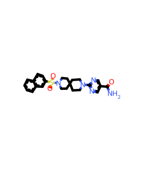 NC(=O)c1cnc(N2CCC3(CC2)CCN(S(=O)(=O)c2ccc4ccccc4c2)CC3)nc1